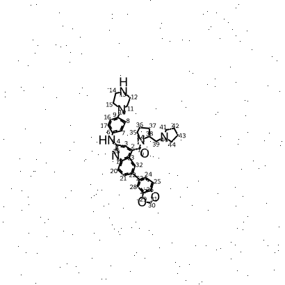 O=C(c1cc(Nc2ccc(N3CCNCC3)cc2)nc2ccc(-c3ccc4c(c3)OCO4)cc12)N1CCCC1CN1CCCC1